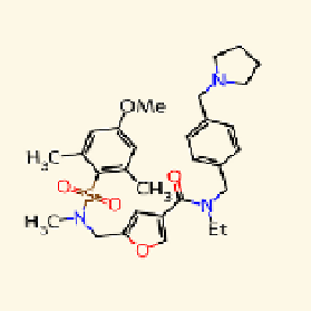 CCN(Cc1ccc(CN2CCCC2)cc1)C(=O)c1coc(CN(C)S(=O)(=O)c2c(C)cc(OC)cc2C)c1